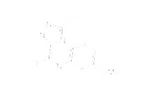 CCc1nnc2c(Cl)nc3cc(OC)ccc3n12